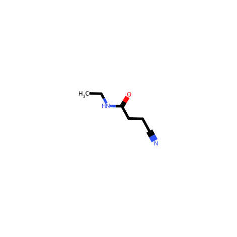 CCNC(=O)CCC#N